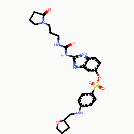 O=C(NCCCN1CCCC1=O)Nc1nc2cc(OS(=O)(=O)c3ccc(NCC4CCCO4)cc3)ccc2[nH]1